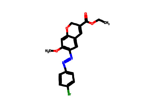 CCOC(=O)C1=Cc2cc(/N=N/c3ccc(Br)cc3)c(OC)cc2OC1